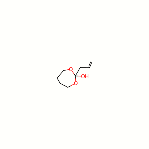 C=CCC1(O)OCCCCO1